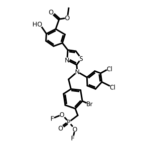 COC(=O)c1cc(-c2csc(N(Cc3ccc(CP(=O)(OF)OF)c(Br)c3)c3ccc(Cl)c(Cl)c3)n2)ccc1O